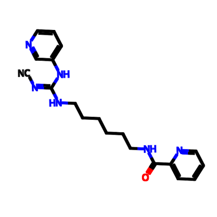 N#CN=C(NCCCCCCNC(=O)c1ccccn1)Nc1cccnc1